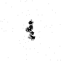 CCNC1(/C=C(\C#N)C(=O)N2CCC[C@H]2Cn2nc(-c3ccc(Oc4cccc(F)c4F)cc3F)c3c(N)ncnc32)CC1